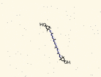 CC1=CC(O)CC(C)(C)C1/C=C/C(C)=C/C=C/C(C)=C/C=C/C=C(C)/C=C/C=C(C)/C=C/C1=C(C)CC(O)CC1(C)C